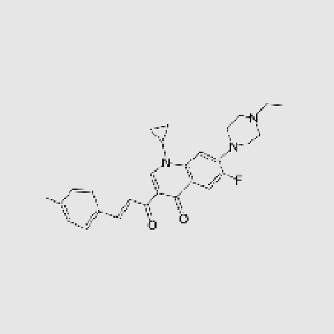 CCN1CCN(c2cc3c(cc2F)c(=O)c(C(=O)C=Cc2ccc(C)cc2)cn3C2CC2)CC1